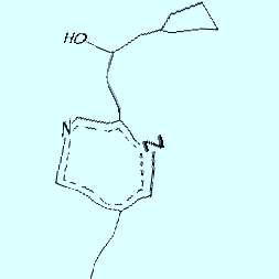 Cc1cnc(C(O)C2CC2)nc1